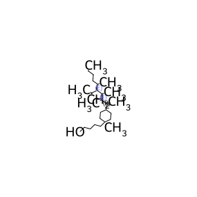 C=C(C)C(=C(/C)CCCC)/C(C)=C(\C)[C@H](C)C1CCC(C)(CCCCO)CC1